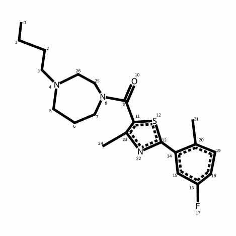 CCCCN1CCCN(C(=O)c2sc(-c3cc(F)ccc3C)nc2C)CC1